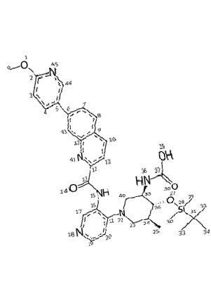 COc1ccc(-c2ccc3ccc(C(=O)Nc4cnccc4N4C[C@H](C)[C@@H](O[Si](C)(C)C(C)(C)C)[C@H](NC(=O)O)C4)nc3c2)cn1